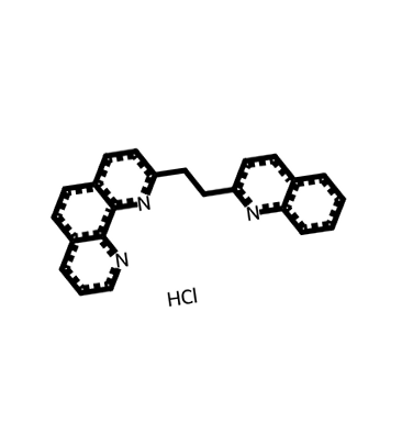 Cl.c1ccc2nc(CCc3ccc4ccc5cccnc5c4n3)ccc2c1